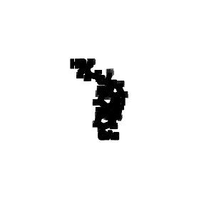 CC(=O)O[C@H]1CC[C@@]2(C)C(=CC=C3[C@@H]4CC[C@H]([C@H](C)CCCC(C)(C)O)[C@@]4(C)CC[C@@H]32)C1